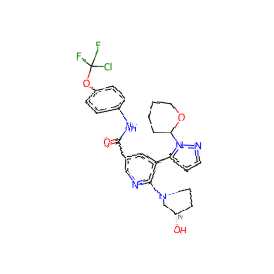 O=C(Nc1ccc(OC(F)(F)Cl)cc1)c1cnc(N2CC[C@H](O)C2)c(-c2ccnn2C2CCCCO2)c1